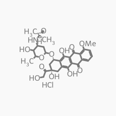 COc1cccc2c1C(=O)c1c(O)c3c(c(O)c1C2=O)C[C@@](O)(C(=O)CO)C[C@@H]3OC1CC(N[SH](C)(C)=O)C(O)C(C)O1.Cl